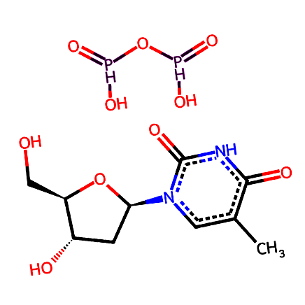 Cc1cn([C@H]2C[C@H](O)[C@@H](CO)O2)c(=O)[nH]c1=O.O=[PH](O)O[PH](=O)O